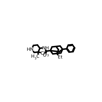 CCC12CC3CC(C(=O)NC4CCNCC4(C)C)(C1)CC(c1ccccc1)(C3)C2